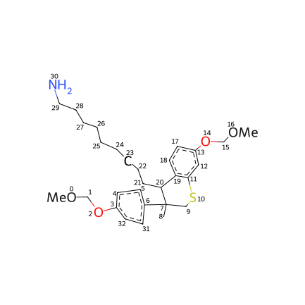 COCOc1ccc(C2(C)CSc3cc(OCOC)ccc3C2CCCCCCCCCN)cc1